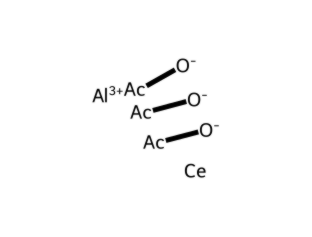 CC(=O)[O-].CC(=O)[O-].CC(=O)[O-].[Al+3].[Ce]